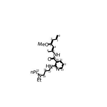 C=C/C=C(\C=C(/C)NC(=O)c1cccnc1NCCCN(CC)CCC)OC